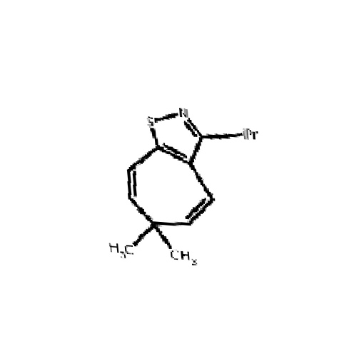 CC(C)c1nsc2c1C=CC(C)(C)C=C2